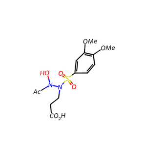 COc1ccc(S(=O)(=O)N(CCC(=O)O)N(O)C(C)=O)cc1OC